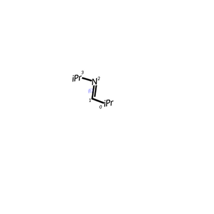 CC(C)/C=N/C(C)C